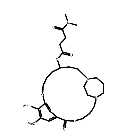 COc1cc2cc(c1OC)OCCCC(OC(=O)CCC(=O)N(C)C)CCN1CCCN(CCCOC2=O)CC1